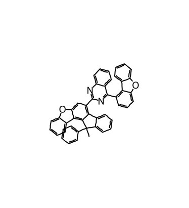 CC1(c2ccccc2)c2ccccc2-c2c(-c3nc(-c4cccc5oc6ccccc6c45)c4ccccc4n3)cc3oc4ccccc4c3c21